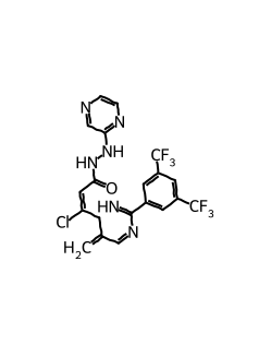 C=C(/C=N\C(=N)c1cc(C(F)(F)F)cc(C(F)(F)F)c1)C/C(Cl)=C\C(=O)NNc1cnccn1